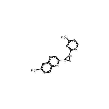 Cc1ccnc([C@H]2C[C@@H]2c2cnc3cc(N)ccc3n2)n1